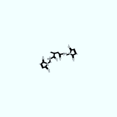 CC(CC(=O)NCN1C(=O)C=CC1=O)C(=O)NCN1C(=O)C=CC1=O